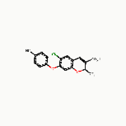 N#Cc1ccc(Oc2cc3c(cc2Cl)C=C(C(=O)O)C(C(F)(F)F)O3)cc1